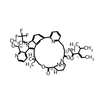 C/C=C(/C(=O)N[C@H]1Cc2cccc(n2)-c2ccc3c(c2)c(c(-c2cccnc2[C@H](C)OC)n3CC(F)(F)F)CC(C)(C)COC(=O)[C@@H]2CCCN(N2)C1=O)C(C)C